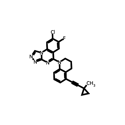 CC1(C#Cc2cccc3c2CCCN3c2nc3nncn3c3cc(Cl)c(F)cc23)CC1